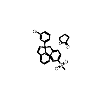 CS(=O)(=O)c1ccc(CC2(c3cccc(Cl)c3)C=Cc3ccccc32)cc1.O=C1CCCO1